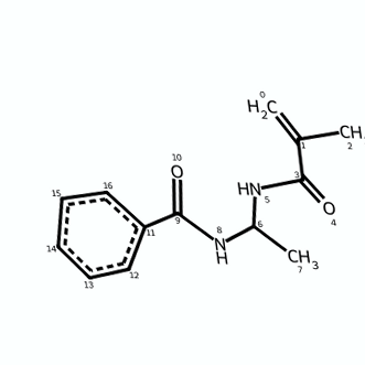 C=C(C)C(=O)NC(C)NC(=O)c1ccccc1